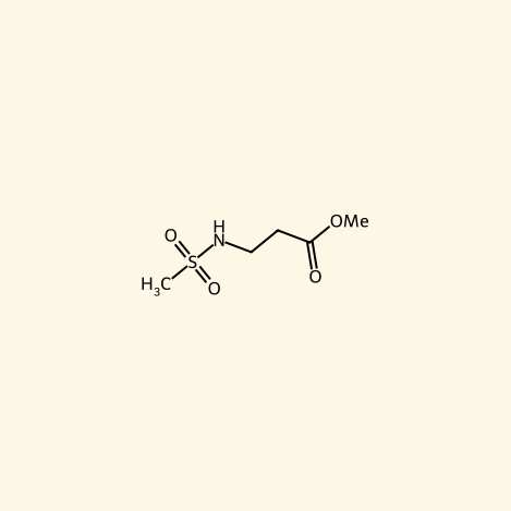 COC(=O)CCNS(C)(=O)=O